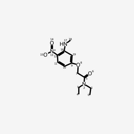 CCN(CC)C(=O)COc1ccc([N+](=O)[O-])c(NC)c1